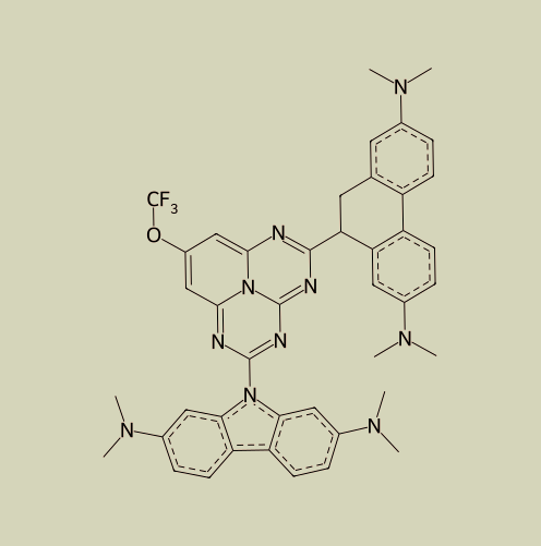 CN(C)c1ccc2c(c1)CC(C1=NC3=CC(OC(F)(F)F)=CC4=NC(n5c6cc(N(C)C)ccc6c6ccc(N(C)C)cc65)=NC(=N1)N34)c1cc(N(C)C)ccc1-2